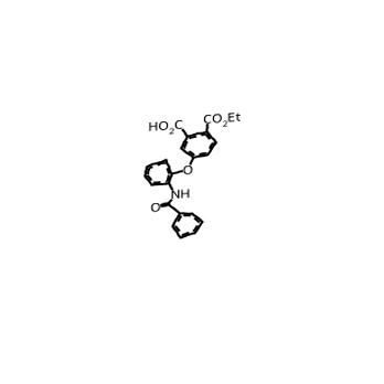 CCOC(=O)c1ccc(Oc2ccccc2NC(=O)c2ccccc2)cc1C(=O)O